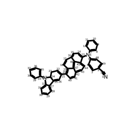 N#Cc1ccc(N(c2ccccc2)c2ccc3ccc4c(C5=CCC6C(=C5)c5ccccc5N6c5ccccc5)ccc5ccc2c3c54)cc1